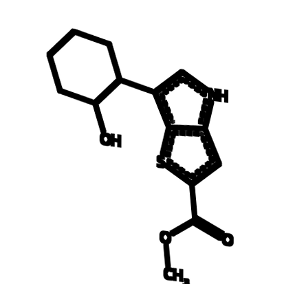 COC(=O)c1cc2[nH]cc(C3CCCCC3O)c2s1